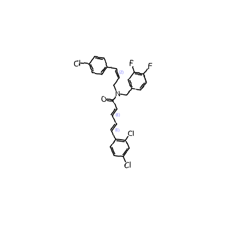 O=C(/C=C/C=C/c1ccc(Cl)cc1Cl)N(C/C=C\c1ccc(Cl)cc1)Cc1ccc(F)c(F)c1